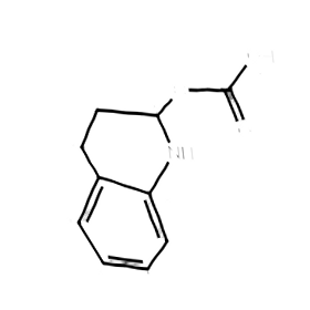 O=C(O)OC1CCc2ccccc2N1